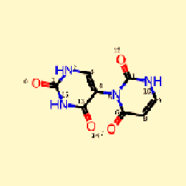 O=c1[nH]cc(-n2c(=O)cc[nH]c2=O)c(=O)[nH]1